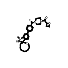 CN1NC2(CCCCCCCC2)c2ccc(-c3ccc(C(=O)N4CCN(C(=O)C5CCO5)CC4)cc3)cc21